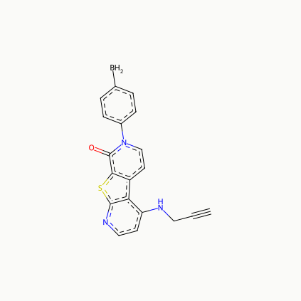 Bc1ccc(-n2ccc3c(sc4nccc(NCC#C)c43)c2=O)cc1